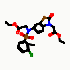 CCOC(=O)CN(c1ccc2c(c1)sc(=O)n2CC(=O)OCC)S(=O)(=O)c1cccc(Cl)c1C